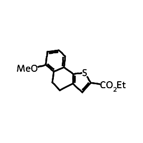 CCOC(=O)c1cc2c(s1)-c1cccc(OC)c1CC2